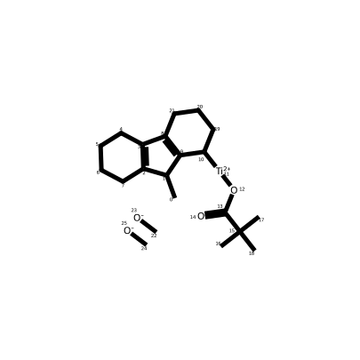 CC1C2=C(CCCC2)C2=C1[CH]([Ti+2][O]C(=O)C(C)(C)C)CCC2.C[O-].C[O-]